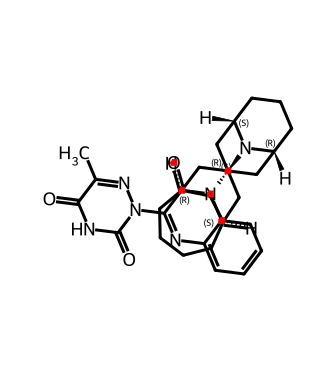 Cc1nn(-c2nc3ccccc3n([C@H]3C[C@H]4CCC[C@@H](C3)N4[C@@H]3C[C@@H]4CCCC[C@@H](C4)C3)c2=O)c(=O)[nH]c1=O